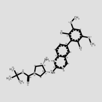 COc1cc(OC)c(Cl)c(-c2ccc3nc(N[C@@H]4CN(C(=O)OC(C)(C)C)C[C@@H]4N)ncc3c2)c1Cl